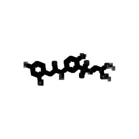 CN(C)C=NS(=O)(=O)c1cc(NC(=O)Cc2ccc(F)cc2Cl)ccc1Br